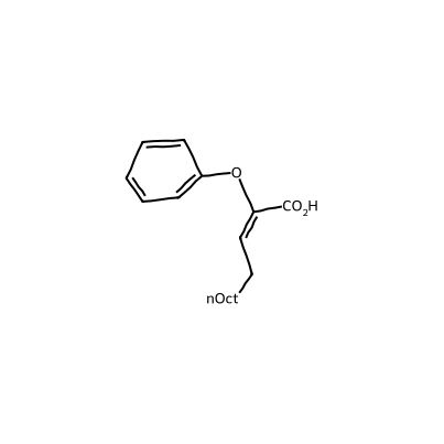 CCCCCCCCCC=C(Oc1ccccc1)C(=O)O